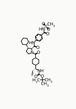 CC(C)(C)OC(=O)N[C@H](CF)C1CCC(C(=O)N2CC[C@@H](C3CCCCC3)[C@H]2C(=O)Nc2ccc(C(=O)NS(C)(=O)=O)cc2)CC1